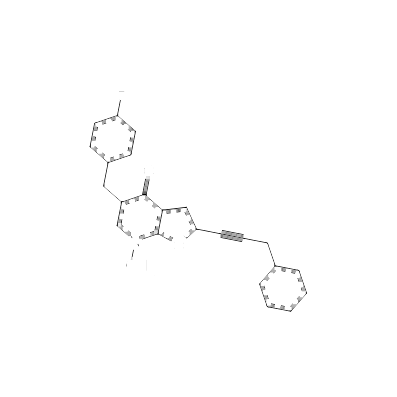 Cn1cc(Cc2ccc(F)cc2)c(=O)c2cc(C#CCc3ccccc3)oc21